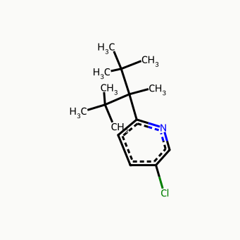 CC(C)(C)C(C)(c1ccc(Cl)cn1)C(C)(C)C